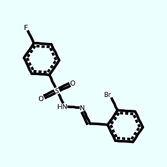 O=S(=O)(N/N=C/c1ccccc1Br)c1ccc(F)cc1